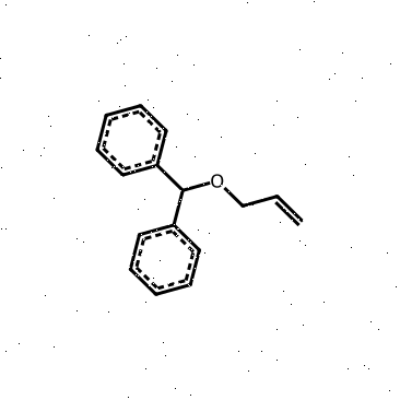 C=CCOC(c1ccccc1)c1ccccc1